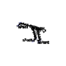 CCCCC/C=C\C/C=C\CCCCCCCCOCC(COCC(CN(C)C)OCCCCCCCC/C=C\C/C=C\CCCCC)OCCCCCCCC/C=C\C/C=C\CCCCC